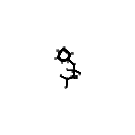 CC(C)NC(C)(C)Cc1ccccc1